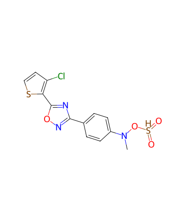 CN(O[SH](=O)=O)c1ccc(-c2noc(-c3sccc3Cl)n2)cc1